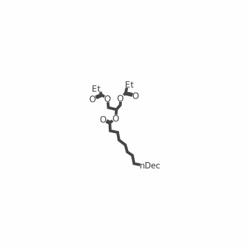 CCCCCCCCCCCCCCCCCC(=O)OC(COC(=O)CC)COC(=O)CC